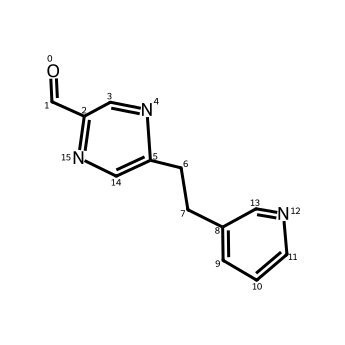 O=Cc1cnc(CCc2cccnc2)cn1